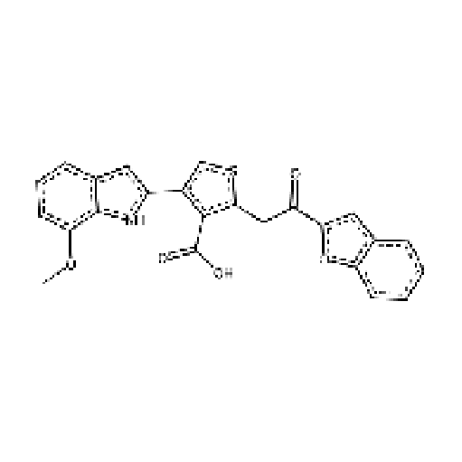 COc1cccc2cc(-c3csc(CC(=O)c4cc5ccccc5o4)c3C(=O)O)[nH]c12